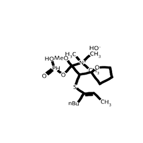 CC=C(CCCC)SC(C1CCCO1)C(OC)(O[PH](=O)O)[N+](C)(C)C.[OH-]